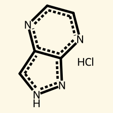 Cl.c1cnc2n[nH]cc2n1